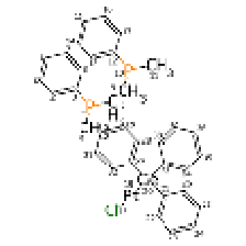 CP(C)c1ccccc1.CP(C)c1ccccc1.[Cl][Pt][Ge]([c]1ccccc1)([c]1ccccc1)[c]1ccccc1